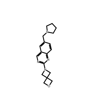 c1cc2nc(N3CC4(COC4)C3)ncc2cc1CN1CCCC1